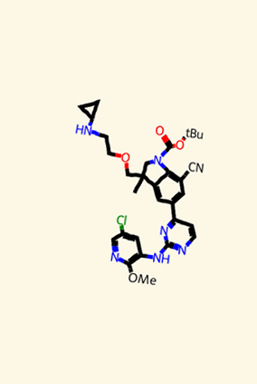 COc1ncc(Cl)cc1Nc1nccc(-c2cc(C#N)c3c(c2)C(C)(COCCNC2CC2)CN3C(=O)OC(C)(C)C)n1